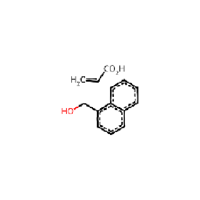 C=CC(=O)O.OCc1cccc2ccccc12